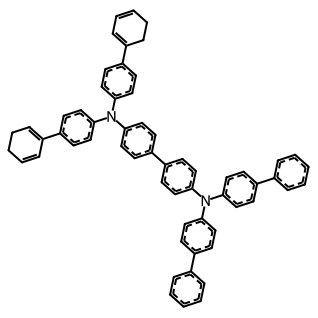 C1=CCCC(c2ccc(N(c3ccc(C4=CCCC=C4)cc3)c3ccc(-c4ccc(N(c5ccc(-c6ccccc6)cc5)c5ccc(-c6ccccc6)cc5)cc4)cc3)cc2)=C1